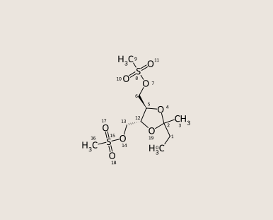 CCC1(C)O[C@H](COS(C)(=O)=O)[C@@H](COS(C)(=O)=O)O1